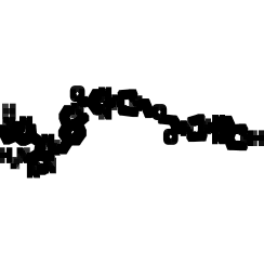 Nc1ncnc2c1c(-c1cnc3[nH]ccc3c1)nn2Cc1ccc2c(c1)CCN(C(=O)c1cnc(N3CCN(CCOCCC(=O)N4CCN(c5ncc6c(n5)CCNC6)CC4)CC3)nc1)C2